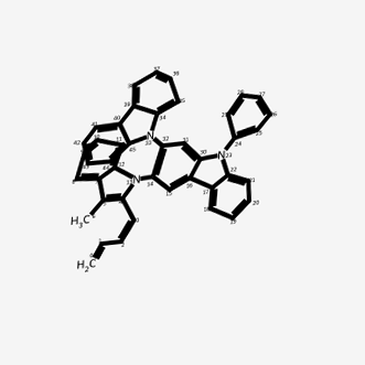 C=C/C=C\c1c(C)c2ccccc2n1-c1cc2c3ccccc3n(-c3ccccc3)c2cc1-n1c2ccccc2c2ccccc21